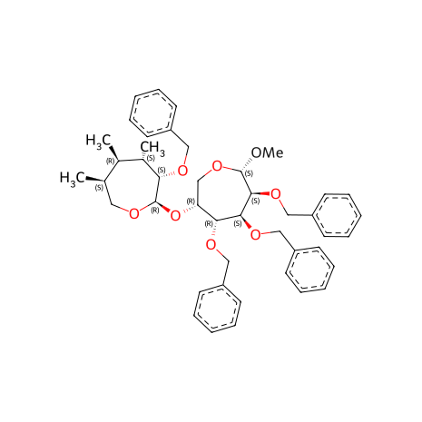 CO[C@H]1OC[C@@H](O[C@H]2OC[C@@H](C)[C@@H](C)[C@H](C)[C@@H]2OCc2ccccc2)[C@@H](OCc2ccccc2)[C@H](OCc2ccccc2)[C@@H]1OCc1ccccc1